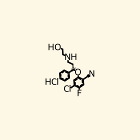 Cl.N#Cc1cc(F)c(Cl)cc1O[C@H](CCNCCO)c1ccccc1